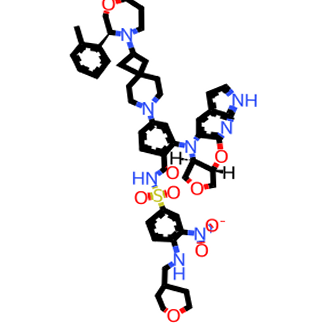 Cc1ccccc1[C@H]1COCCCN1C1CC2(CCN(c3ccc(C(=O)NS(=O)(=O)c4ccc(NCC5CCOCC5)c([N+](=O)[O-])c4)c(N4c5cc6cc[nH]c6nc5O[C@@H]5COC[C@H]54)c3)CC2)C1